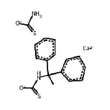 CC(NC([O-])=S)(c1ccccc1)c1ccccc1.NC([O-])=S.[Ca+2]